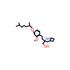 COc1cc(OCC(C)CCCC(C)C)ccc1CCC(N)(CO)CC1CCC1